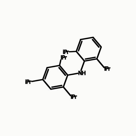 CC(C)c1cc(C(C)C)c(Nc2c(C(C)C)cccc2C(C)C)c(C(C)C)c1